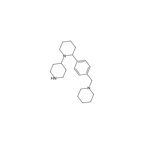 c1cc(C2CCCCN2C2CCNCC2)ccc1CN1CCCCC1